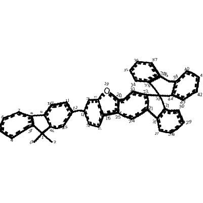 CC1(C)c2ccccc2-c2ccc(-c3ccc4c(c3)oc3cc5c(cc34)-c3ccccc3C53c4ccccc4-c4ccccc43)cc21